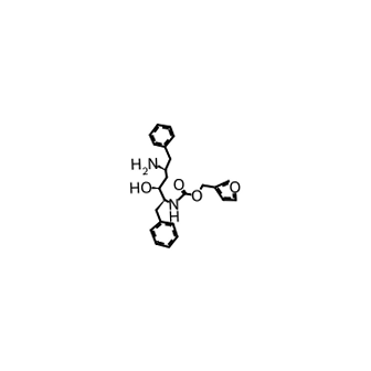 N[C@@H](Cc1ccccc1)C[C@H](O)[C@H](Cc1ccccc1)NC(=O)OCc1ccoc1